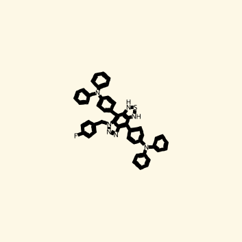 Fc1ccc(Cn2nnc3c(-c4ccc(N(c5ccccc5)c5ccccc5)cc4)c4c(c(-c5ccc(N(c6ccccc6)c6ccccc6)cc5)c32)NSN4)cc1